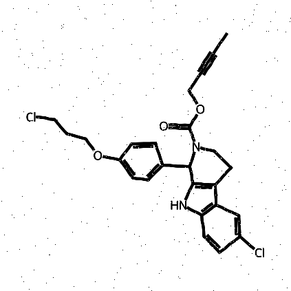 CC#CCOC(=O)N1CCc2c([nH]c3ccc(Cl)cc23)C1c1ccc(OCCCCl)cc1